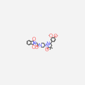 COc1ccc(C2=NN(C3CCN(C(=O)CN4C(=O)c5ccccc5C4=O)CC3)C(=O)C(C)(C)C2)cc1OC